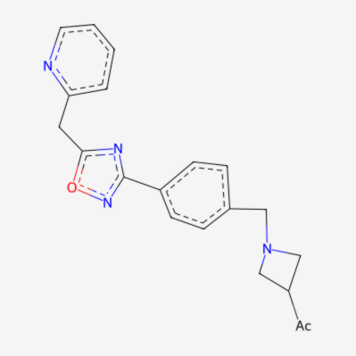 CC(=O)C1CN(Cc2ccc(-c3noc(Cc4ccccn4)n3)cc2)C1